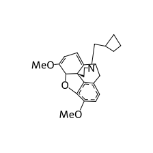 COC1=CC=C2C3Cc4ccc(OC)c5c4[C@]2(CCN3CC2CCC2)C1O5